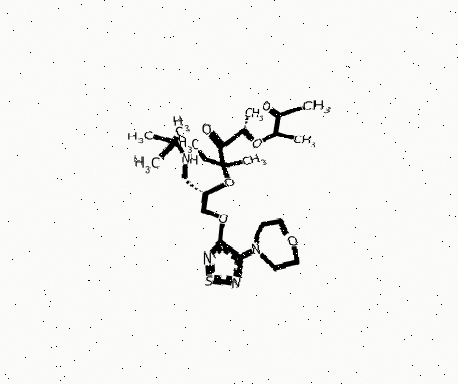 CCC(C)(O[C@@H](CNC(C)(C)C)COc1nsnc1N1CCOCC1)C(=O)[C@H](C)OC(C)C(C)=O